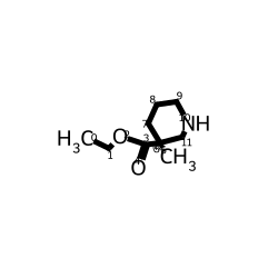 CCOC(=O)[C@]1(C)CCCNC1